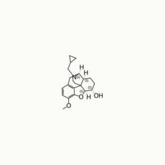 COc1ccc2c3c1O[C@@H]1[C@@H](O)CC[C@@H]4[C@H](C2)N(CC2CC2)CCC341